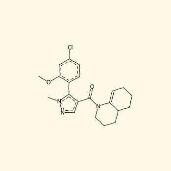 COc1cc(Cl)ccc1-c1c(C(=O)N2CCCC3CCCC=C32)cnn1C